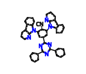 N#Cc1c(-n2c3ccccc3c3cccnc32)cc(-c2nc(-c3ccccc3)nc(-c3ccccc3)n2)cc1-n1c2ccccc2c2cccnc21